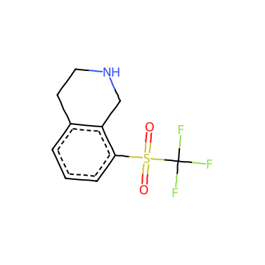 O=S(=O)(c1cccc2c1CNCC2)C(F)(F)F